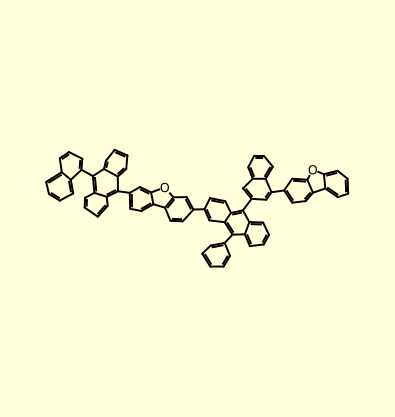 c1ccc(-c2c3ccccc3c(-c3cc(-c4ccc5c(c4)oc4ccccc45)c4ccccc4c3)c3ccc(-c4ccc5c(c4)oc4cc(-c6c7ccccc7c(-c7cccc8ccccc78)c7ccccc67)ccc45)cc23)cc1